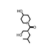 C[C](C)C[C@@H](CO)C(=O)N1CCC(O)CC1